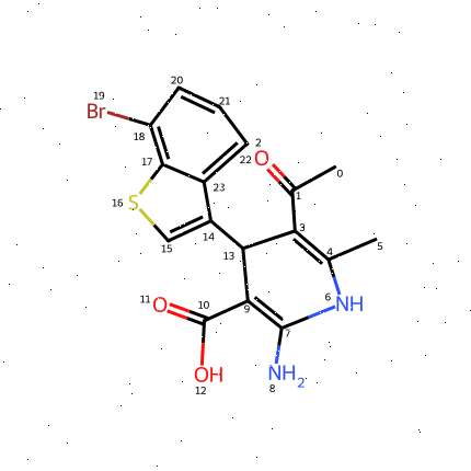 CC(=O)C1=C(C)NC(N)=C(C(=O)O)C1c1csc2c(Br)cccc12